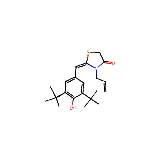 C=CCN1C(=O)CSC1=Cc1cc(C(C)(C)C)c(O)c(C(C)(C)C)c1